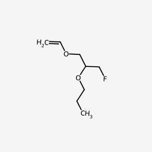 C=COCC(CF)OCCC